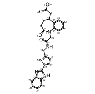 O=C(O)CC1CCC(=O)N(CC(=O)NCc2ccc(-c3nc4ccccc4[nH]3)s2)c2ccccc21